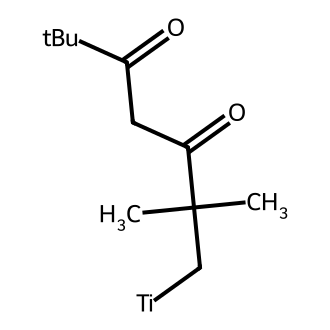 CC(C)(C)C(=O)CC(=O)C(C)(C)[CH2][Ti]